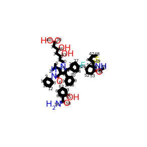 CC(C)c1c(C(=O)Nc2ccccc2)c(-c2ccccc2)c(-c2ccc(F)cc2)n1CC[C@@H](O)C[C@@H](O)CC(=O)O.CCNC1(c2cccs2)CCCCC1=O.NC(=O)c1ccccc1O